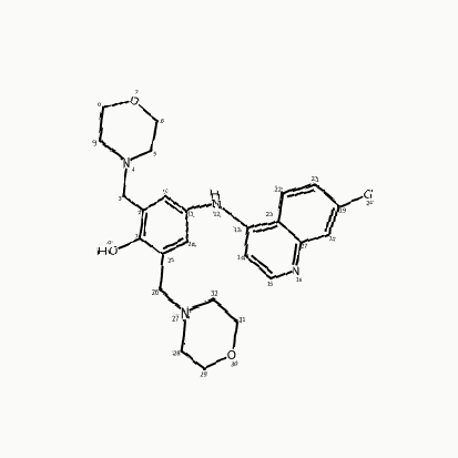 Oc1c(CN2CCOCC2)cc(Nc2ccnc3cc(Cl)ccc23)cc1CN1CCOCC1